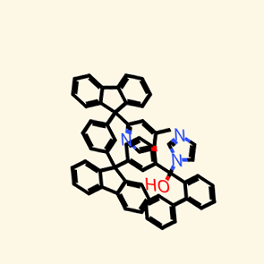 Cc1ccnc(C2(c3cccc(C4(c5cccc(C(O)(c6ccccc6-c6ccccc6)n6ccnc6)c5)c5ccccc5-c5ccccc54)c3)c3ccccc3-c3ccccc32)c1